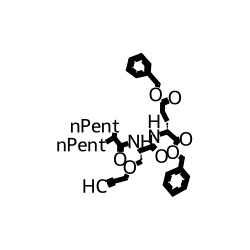 C#CCOC[C@H](NC(=O)C(CCCCC)CCCCC)C(=O)N[C@H](CCC(=O)OCc1ccccc1)C(=O)OCc1ccccc1